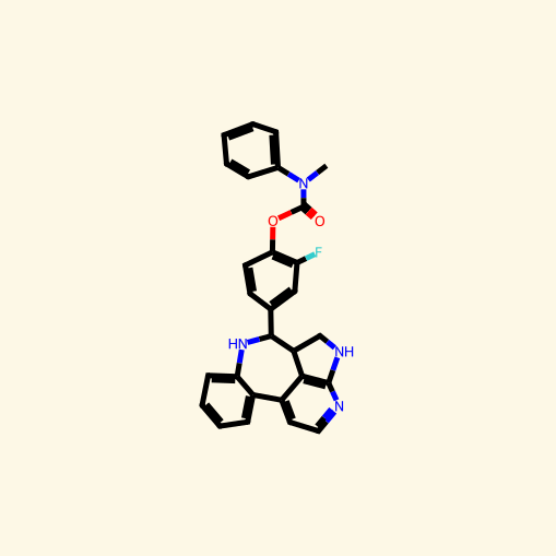 CN(C(=O)Oc1ccc(C2Nc3ccccc3-c3ccnc4c3C2CN4)cc1F)c1ccccc1